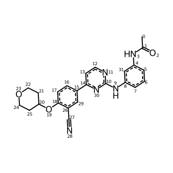 CC(=O)Nc1cccc(Nc2nccc(-c3ccc(OC4CCOCC4)c(C#N)c3)n2)c1